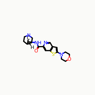 O=C(N[C@H]1CN2CCC1CC2)c1cc2sc(N3CCOCC3)cc2cn1